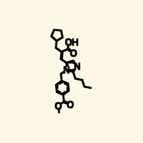 CCCCc1ncc(C=C(CC2CCCC2)C(=O)O)n1Cc1ccc(C(=O)OC)cc1